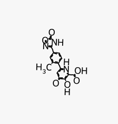 Cc1cc(-c2noc(=O)[nH]2)ccc1-c1cc(=O)c(O)c(C(=O)O)[nH]1